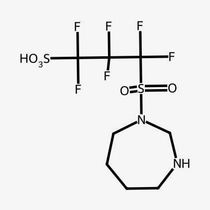 O=S(=O)(O)C(F)(F)C(F)(F)C(F)(F)S(=O)(=O)N1CCCCNC1